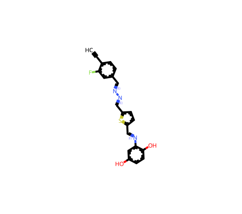 C#Cc1ccc(/C=N/N=C/c2ccc(/C=N/c3cc(O)ccc3O)s2)cc1F